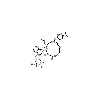 CO[C@@H]1[C@@H](O[C@@H]2O[C@H](C)[C@@H](O[C@H]3C[C@@](C)(O)[C@@H](O)[C@H](C)O3)[C@H](N(C)C)[C@H]2O)[C@@H](CC=O)C[C@@H](C)[C@@H](O[C@H]2CC[C@H](N(C)C)[C@@H](C)O2)/C=C/C=C/C[C@@H](C)OC(=O)C[C@H]1O